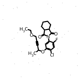 CCOCC#CC(C)Oc1cc(N2C(=O)C3CCCCC3C2=O)c(F)cc1Cl